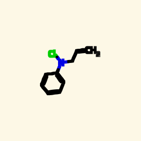 C=CCN(Cl)c1ccccc1